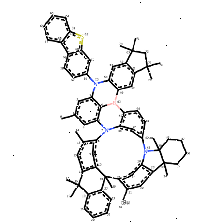 Cc1cc2c3c(c1)N1c4cc5c(cc4C)C(C)(C)c4ccccc4C5(C)c4cc5c(cc4C(C)(C)C)C4(C)CCCCC4(C)N5c4ccc(c1c4)B3c1cc3c(cc1N2c1ccc2c(c1)sc1ccccc12)C(C)(C)CC3(C)C